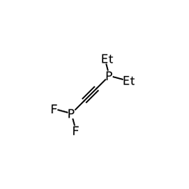 CCP(C#CP(F)F)CC